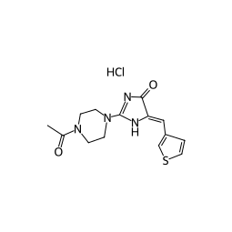 CC(=O)N1CCN(C2=NC(=O)C(=Cc3ccsc3)N2)CC1.Cl